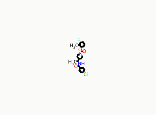 Cc1c(F)cccc1OC(=O)N1CCC([C@@H](C)NC(=O)c2ccc(Cl)cc2)CC1